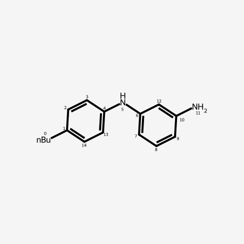 CCCCc1ccc(Nc2cccc(N)c2)cc1